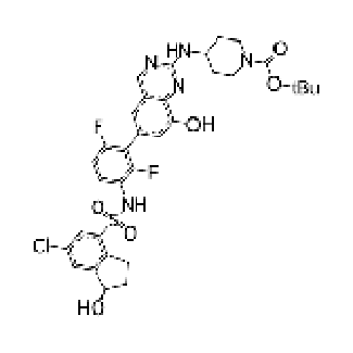 CC(C)(C)OC(=O)N1CCC(Nc2ncc3cc(-c4c(F)ccc(NS(=O)(=O)c5cc(Cl)cc6c5CC[C@H]6O)c4F)cc(O)c3n2)CC1